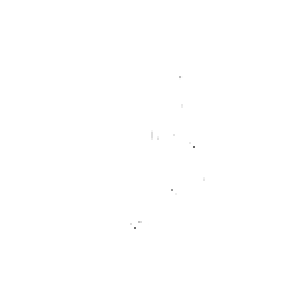 C=CC(=O)N[C@@H]1CCN(c2nccn3c(N4CCC[C@@H](C)C4)ncc23)C1